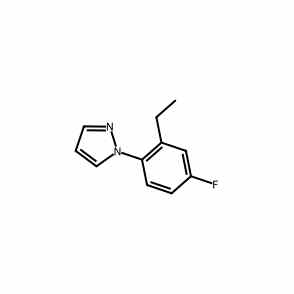 CCc1cc(F)ccc1-n1cccn1